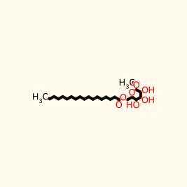 CCCCCCCCCCCCCCCCCC(=O)OCC1O[C@@H](OC)C(O)C(O)[C@@H]1O